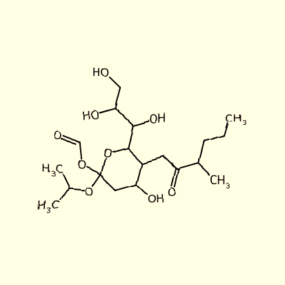 CCCC(C)C(=O)CC1C(O)CC(OC=O)(OC(C)C)OC1C(O)C(O)CO